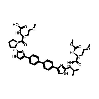 COCC[C@H](NC(=O)OC)C(=O)N[C@@H](c1nc(-c2ccc(-c3ccc(-c4c[nH]c([C@@H]5CCCN5C(=O)[C@H](CCOC)NC(=O)O)n4)cc3)cc2)c[nH]1)C(C)C